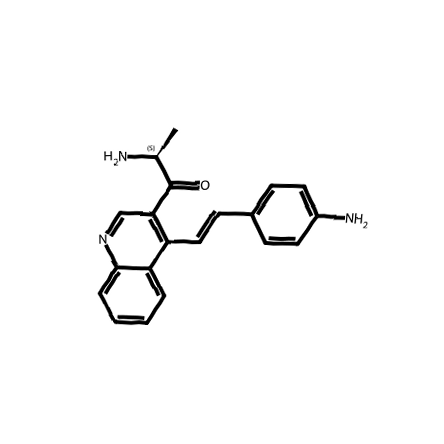 C[C@H](N)C(=O)c1cnc2ccccc2c1C=Cc1ccc(N)cc1